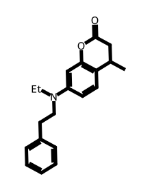 CCN(CCc1ccccc1)c1ccc2c(c1)OC(=O)CC2C